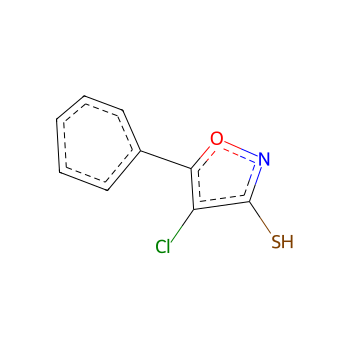 Sc1noc(-c2ccccc2)c1Cl